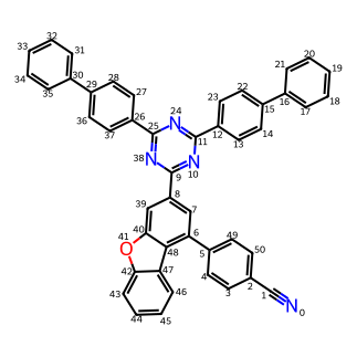 N#Cc1ccc(-c2cc(-c3nc(-c4ccc(-c5ccccc5)cc4)nc(-c4ccc(-c5ccccc5)cc4)n3)cc3oc4ccccc4c23)cc1